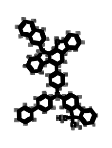 CC1(C)c2ccccc2-c2ccc(N(c3ccc(-c4ccccc4)cc3)c3ccc(-c4cc5c6ccccc6oc5c5c4c4ccccc4n5-c4ccc5ccccc5c4)cc3)cc21